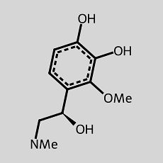 CNC[C@H](O)c1ccc(O)c(O)c1OC